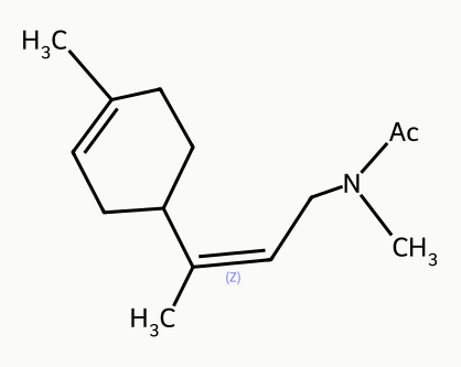 CC(=O)N(C)C/C=C(/C)C1CC=C(C)CC1